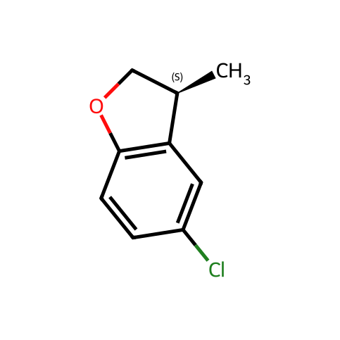 C[C@@H]1COc2ccc(Cl)cc21